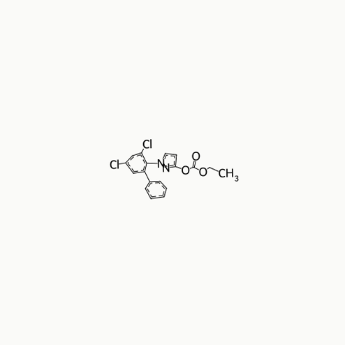 CCOC(=O)Oc1ccn(-c2c(Cl)cc(Cl)cc2-c2ccccc2)n1